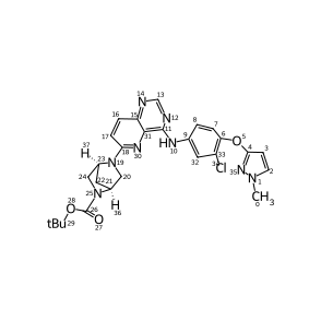 Cn1ccc(Oc2ccc(Nc3ncnc4ccc(N5C[C@@H]6C[C@H]5CN6C(=O)OC(C)(C)C)nc34)cc2Cl)n1